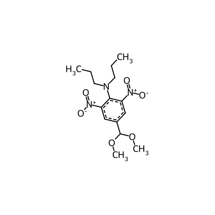 CCCN(CCC)c1c([N+](=O)[O-])cc(C(OC)OC)cc1[N+](=O)[O-]